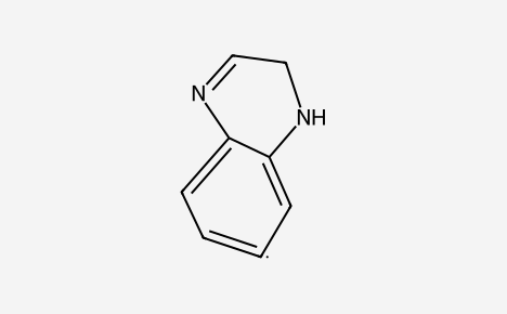 [c]1ccc2c(c1)NCC=N2